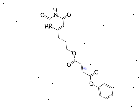 O=C(/C=C/C(=O)Oc1ccccc1)OCCCc1cc(=O)[nH]c(=O)[nH]1